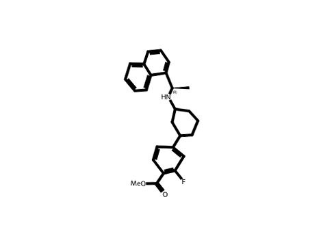 COC(=O)c1ccc(C2CCCC(N[C@H](C)c3cccc4ccccc34)C2)cc1F